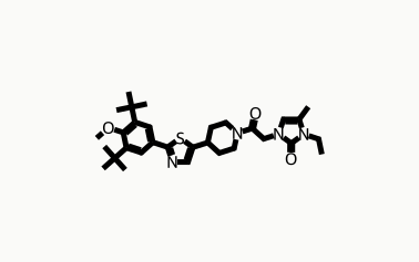 CCn1c(C)cn(CC(=O)N2CCC(c3cnc(-c4cc(C(C)(C)C)c(OC)c(C(C)(C)C)c4)s3)CC2)c1=O